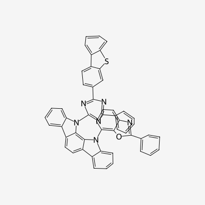 c1ccc(-c2nc(-c3ccc4c(c3)sc3ccccc34)nc(-n3c4ccccc4c4ccc5c6ccccc6n(-c6cccc7nc(-c8ccccc8)oc67)c5c43)n2)cc1